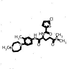 Cc1cc(NC(=O)C(CCC(=O)N(C)C)NC(=O)c2ccc(Cl)s2)ccc1N1CCCN(C)CC1